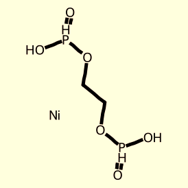 O=[PH](O)OCCO[PH](=O)O.[Ni]